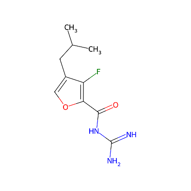 CC(C)Cc1coc(C(=O)NC(=N)N)c1F